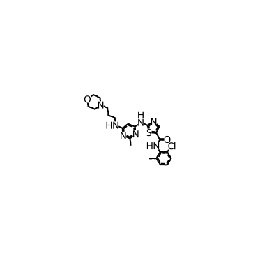 Cc1nc(NCCCN2CCOCC2)cc(Nc2ncc(C(=O)Nc3c(C)cccc3Cl)s2)n1